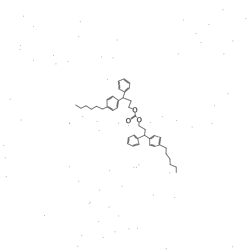 CCCCCCc1ccc(C(CCOC(=O)OCCC(c2ccccc2)c2ccc(CCCCCC)cc2)c2ccccc2)cc1